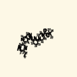 C=Cc1cncc(-c2cc3c(cn2)cnn3-c2cccc(N3CCN(C(=O)OC(C)(C)C)CC3)n2)n1